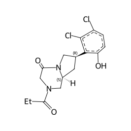 CCC(=O)N1CC(=O)N2C[C@@H](c3c(O)ccc(Cl)c3Cl)C[C@H]2C1